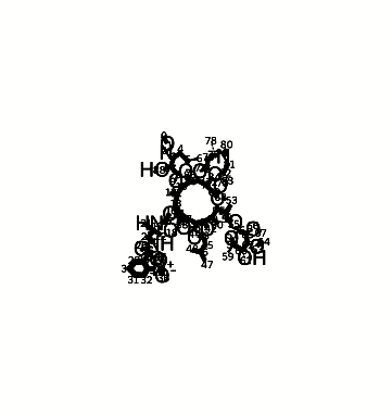 CON=C1C[C@@H](C)O[C@@H](OC2C(C)CC(C)(OC(=O)NC(C)(C)CNS(=O)(=O)c3ccccc3[N+](=O)[O-])C(=O)C(C)C(OC(=O)CC(C)C)C(C)C(C(C)CO[C@@H]3O[C@H](C)[C@@H](O)[C@@H](OC)[C@H]3OC)OC(=O)C(C)C(O[C@H]3C[C@H](C)N(C)C[C@H](C)O3)C2C)[C@@H]1O